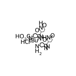 Cl.Cn1nc(C2CCC(=O)NC2=O)c2ccc(N(C(=O)O)C(C)(C)C)cc21.Cn1nc(C2CCC(=O)NC2=O)c2ccc(N)cc21